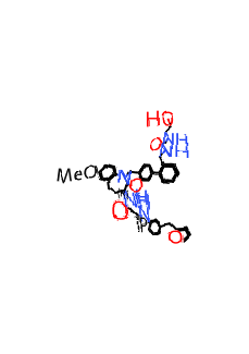 COc1ccc2c(c1)CC[C@@H](NC(=O)C(Nc1cccc(Cc3ccco3)c1)C(C)C)C(=O)N2Cc1ccc(-c2ccccc2CNC(=O)NCCO)cc1